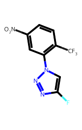 O=[N+]([O-])c1ccc(C(F)(F)F)c(-n2cc(F)nn2)c1